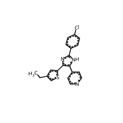 CCc1csc(-c2nc(-c3ccc(Cl)cc3)[nH]c2-c2ccncc2)c1